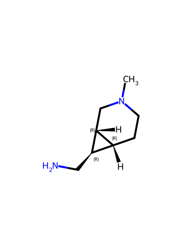 CN1CC[C@@H]2[C@@H](CN)[C@@H]2C1